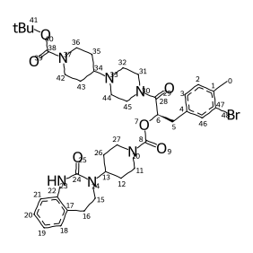 Cc1ccc(C[C@@H](OC(=O)N2CCC(N3CCc4ccccc4NC3=O)CC2)C(=O)N2CCN(C3CCN(C(=O)OC(C)(C)C)CC3)CC2)cc1Br